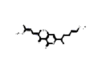 CCCCC/C(C)=C\C=C(/C)C(=O)c1c(O)cc(C(C)CC/C=C/C(=O)O)oc1=O